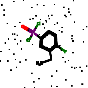 CCc1cc(P(=O)(Cl)Cl)ccc1F